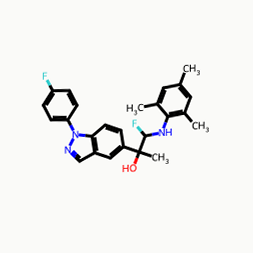 Cc1cc(C)c(NC(F)C(C)(O)c2ccc3c(cnn3-c3ccc(F)cc3)c2)c(C)c1